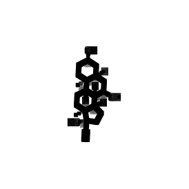 C#C[C@]1(O)CC[C@H]2[C@@H]3[C@H](O)C[C@@H]4C[C@@H](O)CC[C@]4(C)[C@H]3CC[C@@]21C